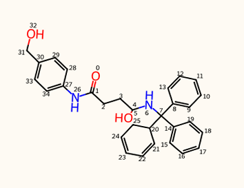 O=C(CCC(O)NC(c1ccccc1)(c1ccccc1)C1C=CC=CC1)Nc1ccc(CO)cc1